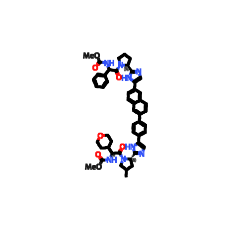 COC(=O)NC(C(=O)N1CCC[C@H]1c1ncc(-c2ccc3cc(-c4ccc(-c5cnc([C@@H]6CC(C)CN6C(=O)[C@@H](NC(=O)OC)C6CCOCC6)[nH]5)cc4)ccc3c2)[nH]1)c1ccccc1